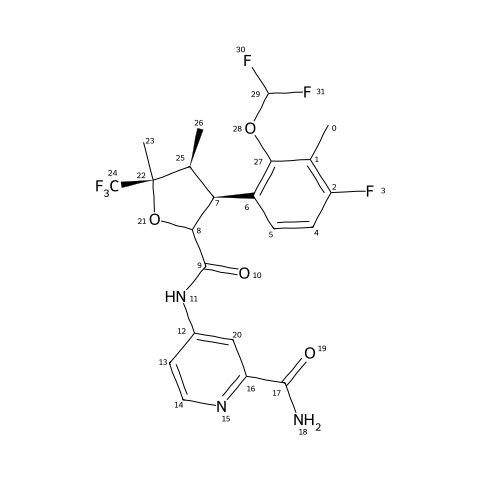 Cc1c(F)ccc([C@H]2C(C(=O)Nc3ccnc(C(N)=O)c3)O[C@@](C)(C(F)(F)F)[C@H]2C)c1OC(F)F